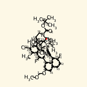 COCOc1cc(-c2ncc3c(N4C5CC(O)C4CN(C(=O)OC(C)(C)C)C5)nc(Cl)c(C)c3c2F)c2c(C#C[Si](C(C)C)(C(C)C)C(C)C)c(F)ccc2c1